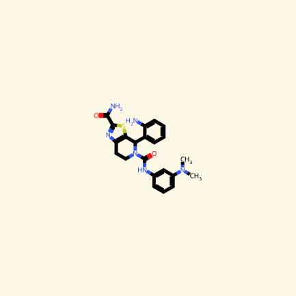 CN(C)c1cccc(NC(=O)N2CCc3nc(C(N)=O)sc3C2c2ccccc2N)c1